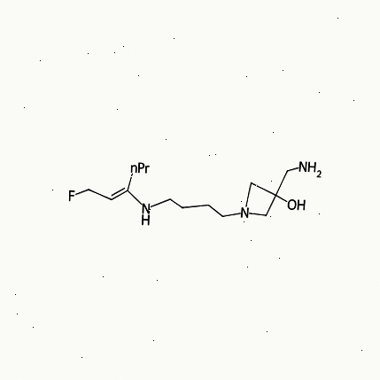 CCC/C(=C\CF)NCCCCN1CC(O)(CN)C1